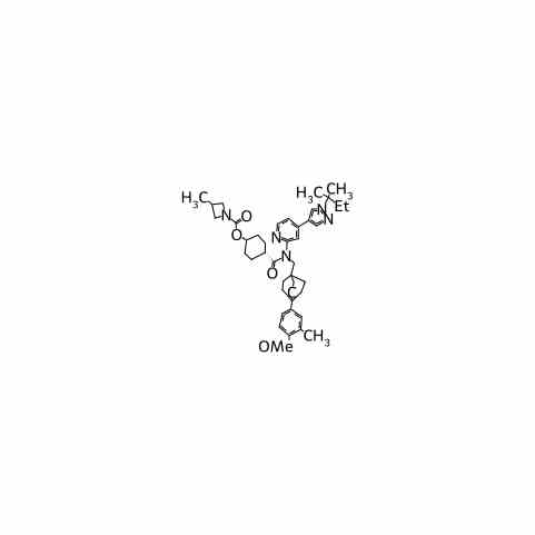 CCC(C)(C)n1cc(-c2ccnc(N(CC34CCC(c5ccc(OC)c(C)c5)(CC3)CC4)C(=O)[C@H]3CC[C@H](OC(=O)N4CC(C)C4)CC3)c2)cn1